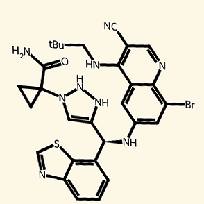 CC(C)(C)CNc1c(C#N)cnc2c(Br)cc(N[C@H](C3=CN(C4(C(N)=O)CC4)NN3)c3cccc4ncsc34)cc12